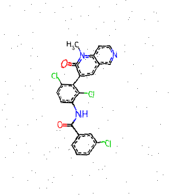 Cn1c(=O)c(-c2c(Cl)ccc(NC(=O)c3cccc(Cl)c3)c2Cl)cc2cnccc21